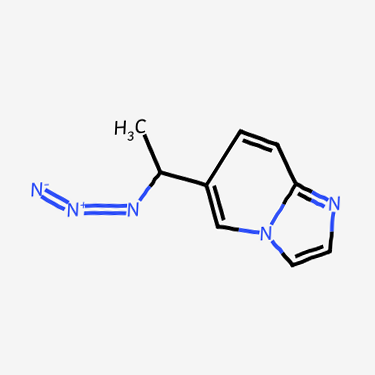 CC(N=[N+]=[N-])c1ccc2nccn2c1